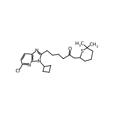 CC1(C)CCCC(CC(=O)CCCCc2nc3ccc(Cl)nc3n2C2CCC2)S1